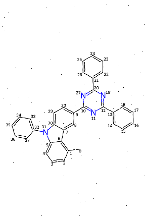 Cc1cccc2c1c1cc(-c3nc(-c4ccccc4)nc(-c4ccccc4)n3)ccc1n2-c1ccccc1